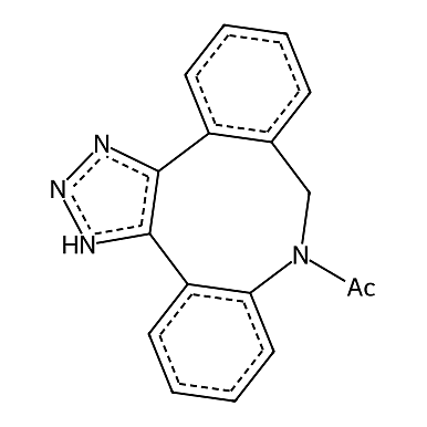 CC(=O)N1Cc2ccccc2-c2nn[nH]c2-c2ccccc21